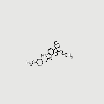 CCOC(=O)C1(c2ccc3[nH]c(C[C@H]4CC[C@H](C)CC4)nc3c2)CCOC1